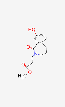 COC(=O)CCN1CCCc2ccc(O)cc2C1=O